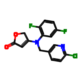 O=C1C=C(N(Cc2ccc(Cl)nc2)c2cc(F)ccc2F)CO1